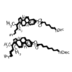 CCCCCCCCCCCCCCCC(=O)O[C@H]1CC[C@@]2(C)C(=CC[C@H]3[C@@H]4CC[C@H]([C@H](C)CCCC(C)C)[C@@]4(C)CC[C@@H]32)C1.CCCCCCCCCCCCCCCCCC(=O)O[C@H]1CC[C@@]2(C)C(=CC[C@H]3[C@@H]4CC[C@H]([C@H](C)CCCC(C)C)[C@@]4(C)CC[C@@H]32)C1